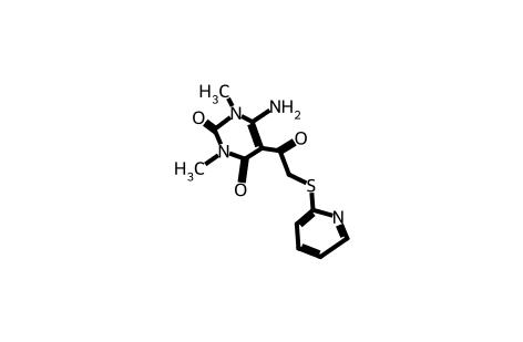 Cn1c(N)c(C(=O)CSc2ccccn2)c(=O)n(C)c1=O